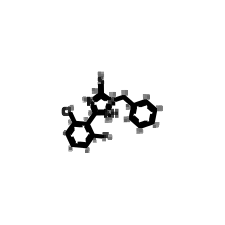 Fc1cccc(Cl)c1-c1nc(=S)n(Cc2ccccc2)[nH]1